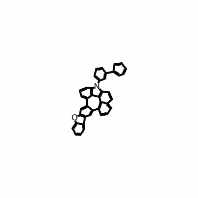 c1ccc(-c2cccc(-n3c4cccc5c4c4c6c(cccc6ccc43)-c3cc4c(cc3-5)oc3ccccc34)c2)cc1